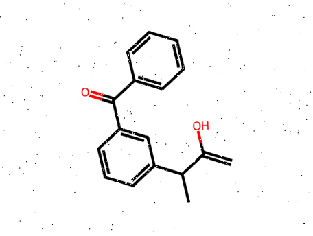 C=C(O)C(C)c1cccc(C(=O)c2ccccc2)c1